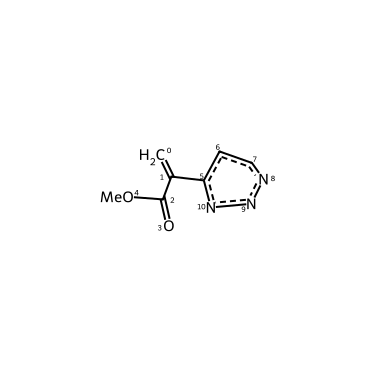 C=C(C(=O)OC)c1ccnnn1